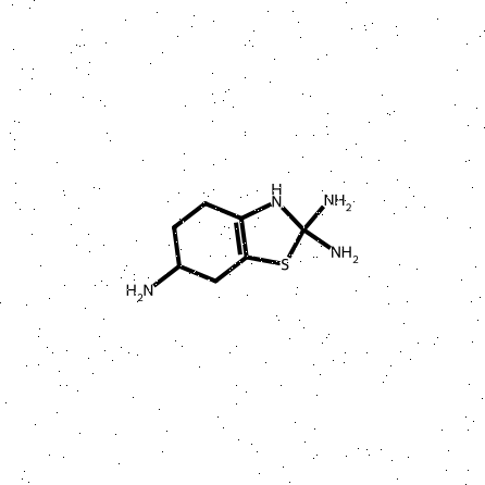 NC1CCC2=C(C1)SC(N)(N)N2